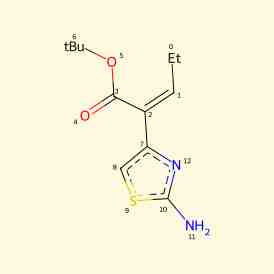 CC/C=C(\C(=O)OC(C)(C)C)c1csc(N)n1